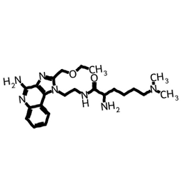 CCOCc1nc2c(N)nc3ccccc3c2n1CCNC(=O)C(N)CCCCN(C)C